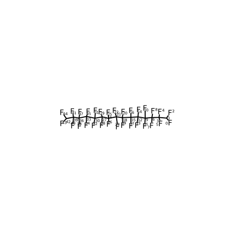 FC(F)C(F)(F)C(F)(F)C(F)(F)C(F)(F)C(F)(F)C(F)(F)C(F)(F)C(F)(F)C(F)(F)C(F)(F)C(F)(F)C(F)(F)C(F)(F)C(F)F